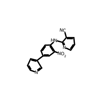 N#Cc1cccnc1Nc1ccc(-c2cccnc2)cc1[N+](=O)[O-]